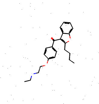 CCCCc1oc2ccccc2c1C(=O)c1ccc(OCCNCC)cc1